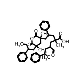 CCC(CC1(C)CC(C)(CC(CC(C)(CC(C=O)CC(C)c2ccccc2)C(=O)O)c2ccccc2)C(=O)OC1=O)c1ccccc1